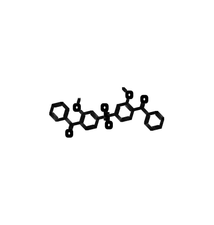 COc1cc(S(=O)(=O)c2ccc(C(=O)c3ccccc3)c(OC)c2)ccc1C(=O)c1ccccc1